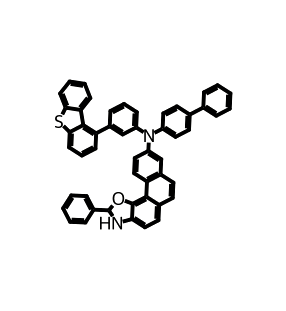 c1ccc(-c2ccc(N(c3cccc(-c4cccc5sc6ccccc6c45)c3)c3ccc4c(ccc5ccc6c(c54)OC(c4ccccc4)N6)c3)cc2)cc1